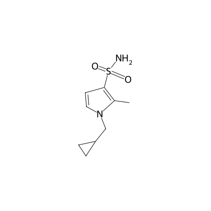 Cc1c(S(N)(=O)=O)ccn1CC1CC1